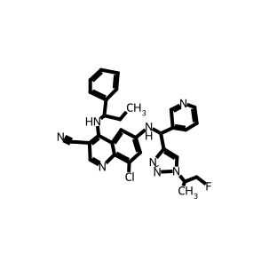 CCC(Nc1c(C#N)cnc2c(Cl)cc(NC(c3cccnc3)c3cn(C(C)CF)nn3)cc12)c1ccccc1